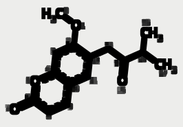 COc1cc2oc(=O)ccc2cc1CC(=O)C(C)C